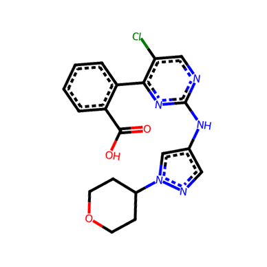 O=C(O)c1ccccc1-c1nc(Nc2cnn(C3CCOCC3)c2)ncc1Cl